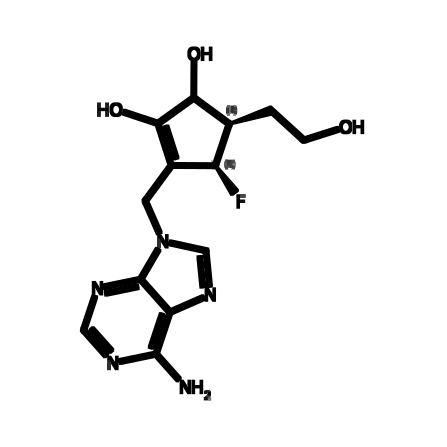 Nc1ncnc2c1ncn2CC1=C(O)C(O)[C@@H](CCO)[C@H]1F